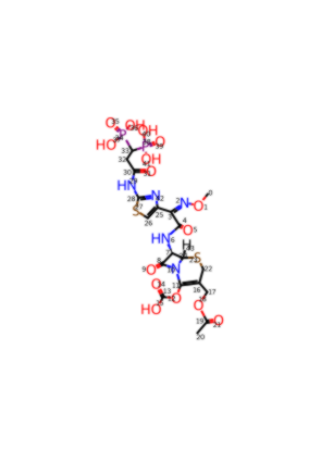 CO/N=C(\C(=O)N[C@@H]1C(=O)N2C(OC(=O)O)=C(COC(C)=O)CS[C@@H]12)c1csc(NC(=O)CC(P(=O)(O)O)P(=O)(O)O)n1